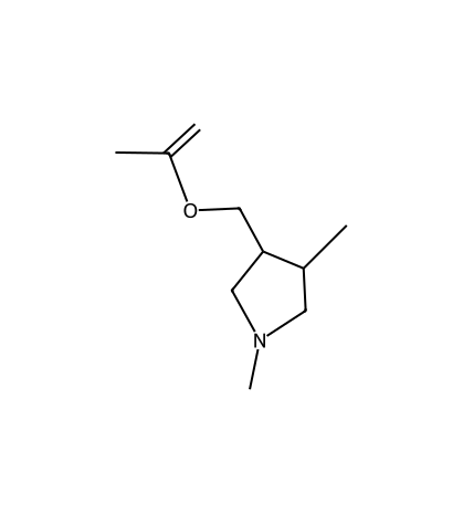 C=C(C)OCC1CN(C)CC1C